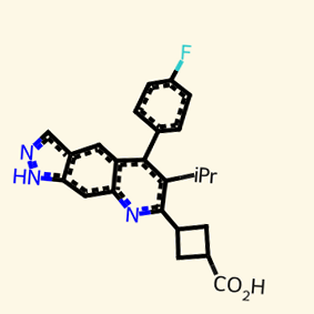 CC(C)c1c(C2CC(C(=O)O)C2)nc2cc3[nH]ncc3cc2c1-c1ccc(F)cc1